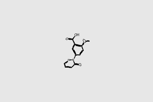 COc1ccc(-n2ncccc2=O)cc1C(=O)O